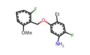 CCc1cc(F)c(N)cc1OCc1c(F)cccc1OC